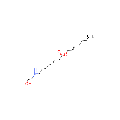 CCCCC=CCOC(=O)CCCCCCCNCCO